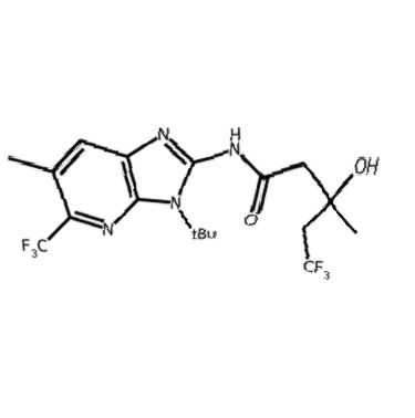 Cc1cc2nc(NC(=O)CC(C)(O)CC(F)(F)F)n(C(C)(C)C)c2nc1C(F)(F)F